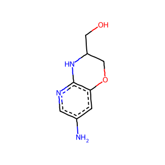 Nc1cnc2c(c1)OCC(CO)N2